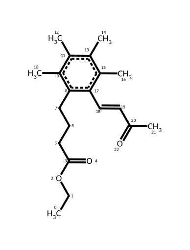 CCOC(=O)CCCc1c(C)c(C)c(C)c(C)c1C=CC(C)=O